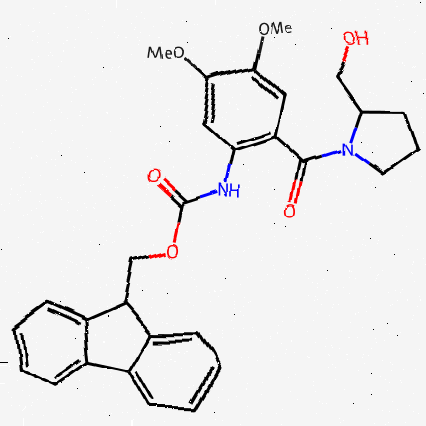 COc1cc(NC(=O)OCC2c3ccccc3-c3ccccc32)c(C(=O)N2CCCC2CO)cc1OC